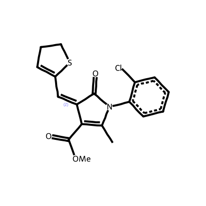 COC(=O)C1=C(C)N(c2ccccc2Cl)C(=O)/C1=C\C1=CCCS1